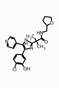 CC(C)(C(=O)NCC1CCCO1)c1nc(-c2ccc(Cl)c(O)c2)c(-c2ccncc2)[nH]1